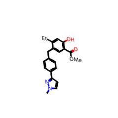 CCc1cc(O)c(C(=O)OC)cc1Cc1ccc(-c2ccn(C)n2)cc1